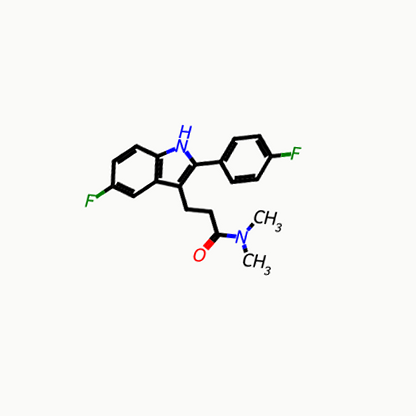 CN(C)C(=O)CCc1c(-c2ccc(F)cc2)[nH]c2ccc(F)cc12